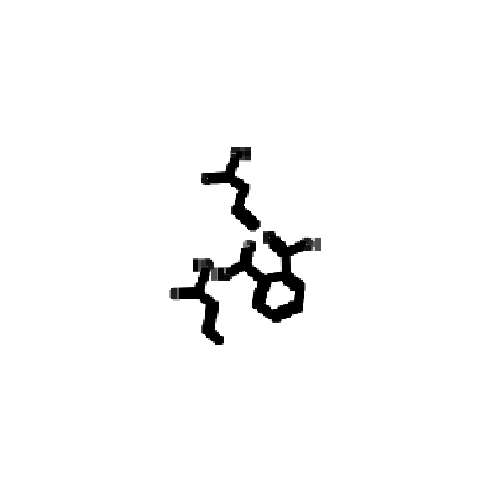 C=CCC(=O)O.CC=CC(=O)O.O=C(O)c1ccccc1C(=O)O